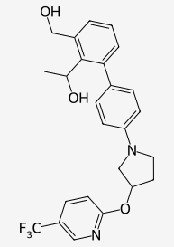 CC(O)c1c(CO)cccc1-c1ccc(N2CCC(Oc3ccc(C(F)(F)F)cn3)C2)cc1